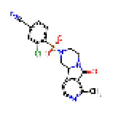 Cc1nccc2c1C(=O)N1CCN(S(=O)(=O)c3ccc(C#N)cc3Cl)CC21